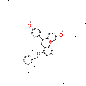 COc1ccc(C(Cc2c(OC)c[c]cc2OCc2ccccc2)c2ccc(OC)cc2)cc1